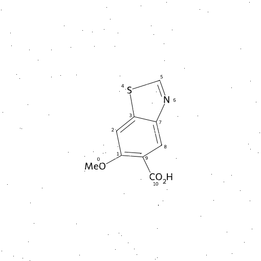 COc1cc2scnc2cc1C(=O)O